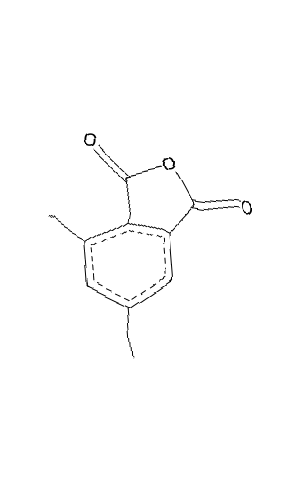 Cc1cc(C)c2c(c1)C(=O)OC2=O